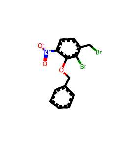 O=[N+]([O-])c1ccc(CBr)c(Br)c1OCc1ccccc1